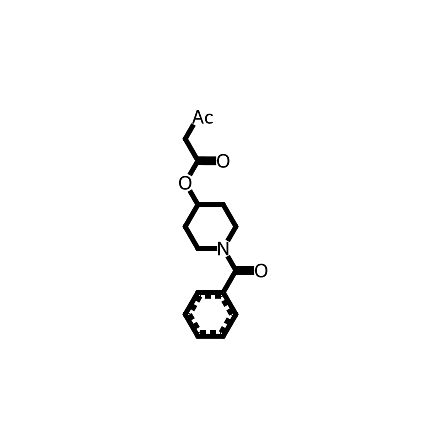 CC(=O)CC(=O)OC1CCN(C(=O)c2ccccc2)CC1